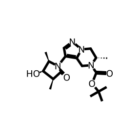 C[C@@H]1C(=O)N(c2cnn3c2CN(C(=O)OC(C)(C)C)[C@@H](C)C3)[C@H](C)[C@H]1O